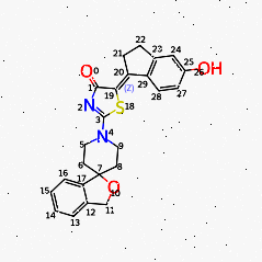 O=C1N=C(N2CCC3(CC2)OCc2ccccc23)S/C1=C1/CCc2cc(O)ccc21